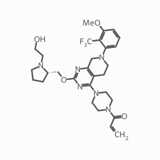 C=CC(=O)N1CCN(c2nc(OC[C@@H]3CCCN3CCO)nc3c2CCN(c2cccc(OC)c2C(F)(F)F)C3)CC1